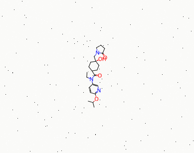 CC(C)Oc1ccc(N2CC[C@]3(CC[C@@](O)(CN4CCCC4=O)CC3)C2=O)cn1